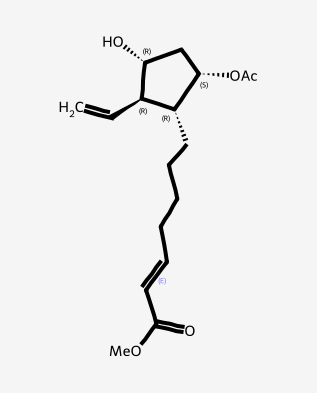 C=C[C@@H]1[C@@H](CCCC/C=C/C(=O)OC)[C@@H](OC(C)=O)C[C@H]1O